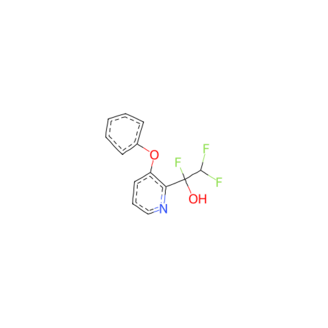 OC(F)(c1ncccc1Oc1ccccc1)C(F)F